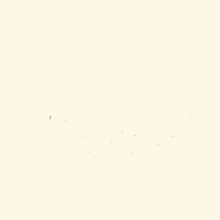 CC(C)(C)c1ccc(NC(=S)ON2CCC3(CC2)CC(c2ccc(C(C)(C)C)cc2)=NO3)cc1